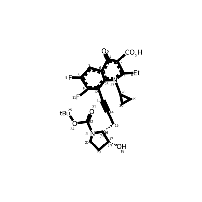 CCc1c(C(=O)O)c(=O)c2cc(F)c(F)c(C#CC[C@@H]3[C@H](O)CCN3C(=O)OC(C)(C)C)c2n1C1CC1